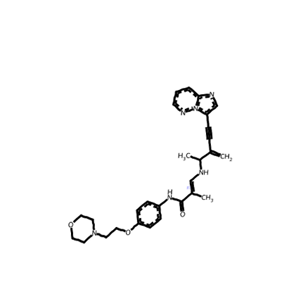 C=C(C#Cc1cnc2cccnn12)C(C)N/C=C(\C)C(=O)Nc1ccc(OCCN2CCOCC2)cc1